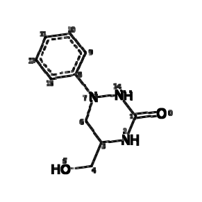 O=C1NC(CO)CN(c2ccccc2)N1